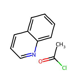 CC(=O)Cl.c1ccc2ncccc2c1